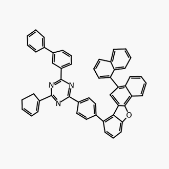 C1=CCCC(c2nc(-c3ccc(-c4cccc5oc6c7ccccc7c(-c7cccc8ccccc78)cc6c45)cc3)nc(-c3cccc(-c4ccccc4)c3)n2)=C1